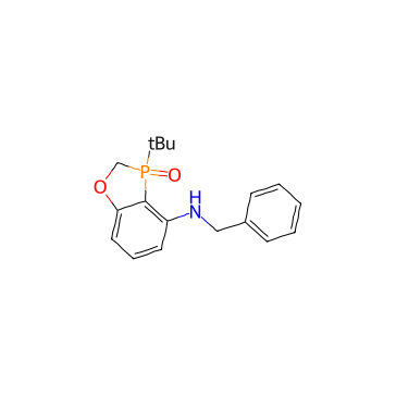 CC(C)(C)P1(=O)COc2cccc(NCc3ccccc3)c21